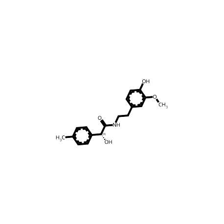 COc1cc(CCNC(=O)[C@H](O)c2ccc(C)cc2)ccc1O